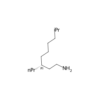 CCC[C@@H](CCN)CCCCC(C)C